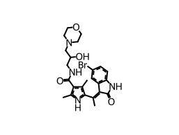 CC(=C1C(=O)Nc2ccc(Br)cc21)c1[nH]c(C)c(C(=O)NCC(O)CN2CCOCC2)c1C